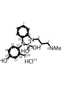 CNCCCN1c2ccccc2N(c2ccc(O)cc2F)S1(O)O.Cl